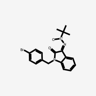 CC(C)(C)[S+]([O-])/N=C1\C(=O)N(Cc2ccc(Br)cc2)c2ccccc21